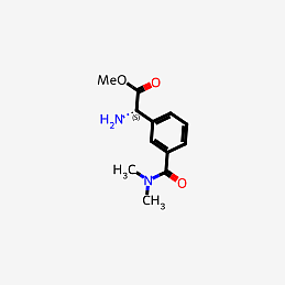 COC(=O)[C@@H](N)c1cccc(C(=O)N(C)C)c1